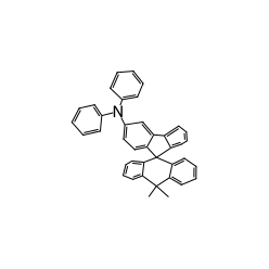 CC1(C)c2ccccc2C2(c3ccccc3-c3cc(N(c4ccccc4)c4ccccc4)ccc32)c2ccccc21